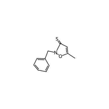 Cc1cc(=S)n(Cc2ccccc2)o1